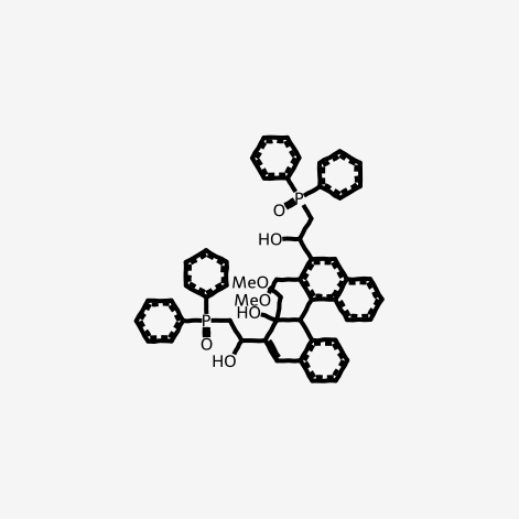 COCc1c(C(O)CP(=O)(c2ccccc2)c2ccccc2)cc2ccccc2c1C1c2ccccc2C=C(C(O)CP(=O)(c2ccccc2)c2ccccc2)C1(O)COC